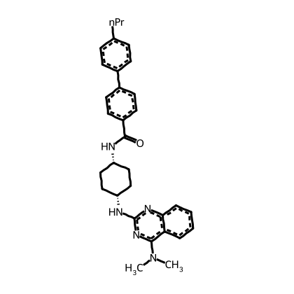 CCCc1ccc(-c2ccc(C(=O)N[C@H]3CC[C@@H](Nc4nc(N(C)C)c5ccccc5n4)CC3)cc2)cc1